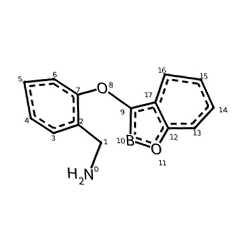 NCc1ccccc1Oc1boc2ccccc12